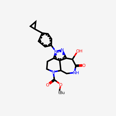 CC(C)(C)OC(=O)N1CCc2c3c(nn2-c2ccc(C4CC4)cc2)C(O)C(=O)NCC31